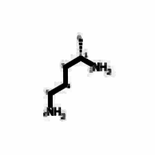 C[C@H](N)CC[CH]N